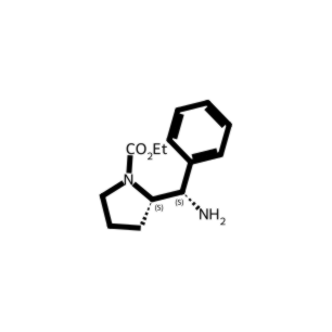 CCOC(=O)N1CCC[C@H]1[C@@H](N)c1ccccc1